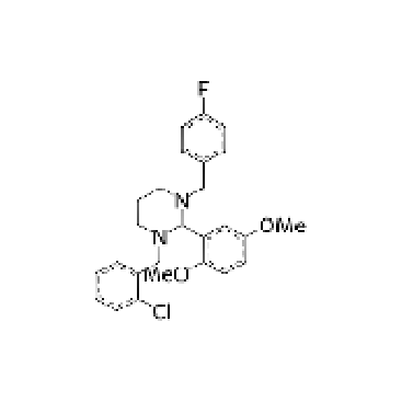 COc1ccc(OC)c(C2N(Cc3ccc(F)cc3)CCCN2Cc2ccccc2Cl)c1